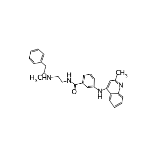 Cc1cc(Nc2cccc(C(=O)NCCNC(C)Cc3ccccc3)c2)c2ccccc2n1